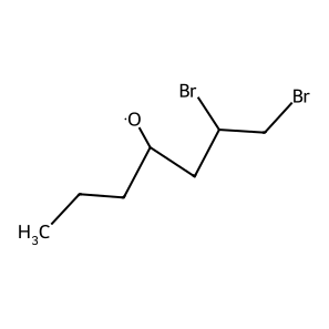 CCCC([O])CC(Br)CBr